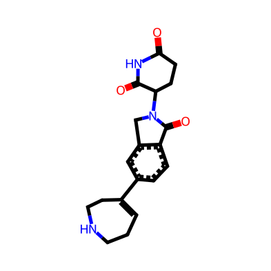 O=C1CCC(N2Cc3cc(C4=CCCNCC4)ccc3C2=O)C(=O)N1